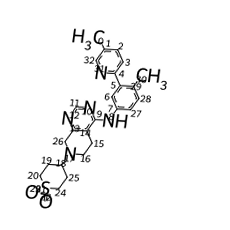 Cc1ccc(-c2cc(Nc3ncnc4c3CCN(C3CCS(=O)(=O)CC3)C4)ccc2C)nc1